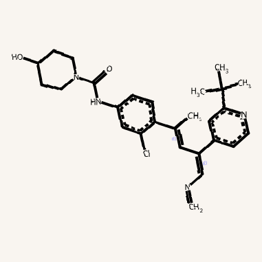 C=N/C=C(\C=C(/C)c1ccc(NC(=O)N2CCC(O)CC2)cc1Cl)c1ccnc(C(C)(C)C)c1